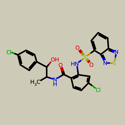 CC(NC(=O)c1ccc(Cl)cc1NS(=O)(=O)c1cccc2nsnc12)C(O)c1ccc(Cl)cc1